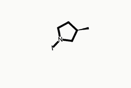 C[C@@H]1CCN(I)C1